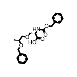 C[C@@H](COC[C@H](NC(=O)OCc1ccccc1)C(=O)O)OCc1ccccc1